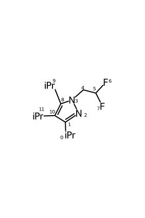 CC(C)c1nn(CC(F)F)c(C(C)C)c1C(C)C